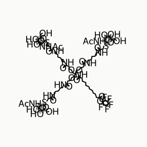 CC(=O)N[C@@H]1[C@@H](O)[C@@H](O)[C@@H](CO)O[C@H]1SCCC(=O)NCCCCCNC(=O)CCOCC(COCCC(=O)NCCCCCNC(=O)CCS[C@@H]1O[C@H](CO)[C@H](O)[C@H](O)[C@H]1NC(C)=O)(COCCC(=O)NCCCCCNC(=O)CCS[C@@H]1O[C@H](CO)[C@H](O)[C@H](O)[C@H]1NC(C)=O)NC(=O)CCCCCCCCCCC(=O)Oc1c(F)c(F)c(F)c(F)c1F